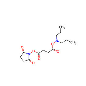 CCCN(CCC)OC(=O)CCC(=O)ON1C(=O)CCC1=O